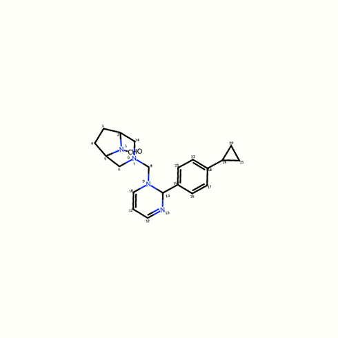 O=CN1C2CCC1CN(CN1C=CC=NC1c1ccc(C3CC3)cc1)C2